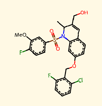 COc1cc(S(=O)(=O)N2c3cc(OCc4c(F)cccc4Cl)ccc3C=C(CO)C2C)ccc1F